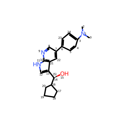 CN(C)c1ccc(-c2cnc3[nH]cc([C@@H](O)C4CCCC4)c3c2)cc1